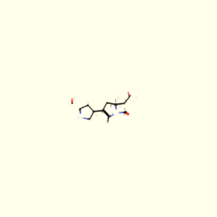 C[C@@H](O)[C@H]1C(=O)N2C(C(=O)O)=C(C3CN[C@H](CO)C3)C[C@H]12